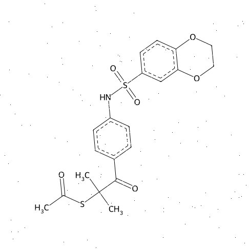 CC(=O)SC(C)(C)C(=O)c1ccc(NS(=O)(=O)c2ccc3c(c2)OCCO3)cc1